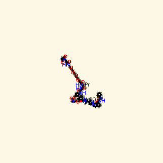 Cc1c(-c2ccc(N3CCc4cccc(C(=O)Nc5nc6ccccc6s5)c4C3)nc2C(=O)O)cnn1CC12CC(OCCN(C)C(=O)OCc3ccc(NC(=O)CNC(=O)C(NC(=O)CCOCCOCCOCCOCCNC(=O)CCN4C(=O)C=CC4=O)C(C)C)cc3)C(C)(CC(C)(C)C1)C2